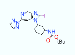 CC(C)(C)OC(=O)N[C@H]1CCC[C@@H](n2c(I)nc3cnc(-n4nccn4)cc32)C1